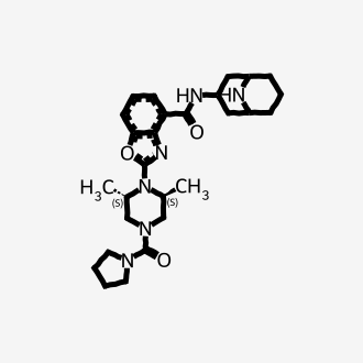 C[C@H]1CN(C(=O)N2CCCC2)C[C@H](C)N1c1nc2c(C(=O)NC3CC4CCCC(C3)N4)cccc2o1